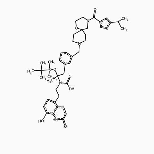 CC(C)c1cc(C(=O)N2CCOC3(CCN(Cc4cccc(C[C@@](C)(O[Si](C)(C)C(C)(C)C)N(CCc5ccc(O)c6[nH]c(=O)ccc56)C(=O)O)c4)CC3)C2)cs1